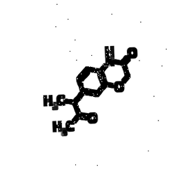 CC(=O)C(C)c1ccc2c(c1)OCC(=O)N2